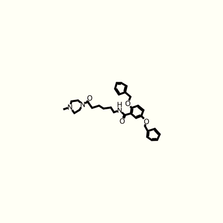 CN1CCN(C(=O)CCCCCNC(=O)c2cc(OCc3ccccc3)ccc2OCc2ccccc2)CC1